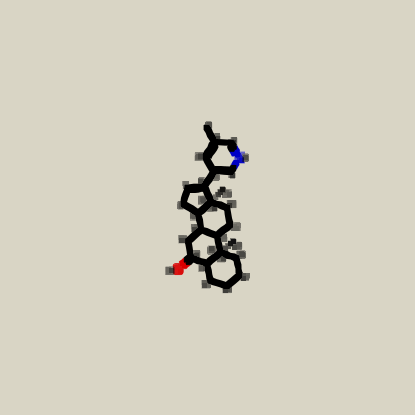 Cc1cncc(C2=CCC3C4CC(=O)C5CCCC[C@]5(C)C4CC[C@]23C)c1